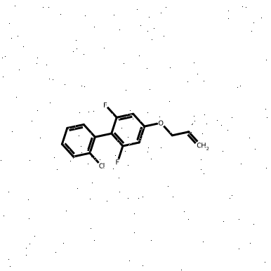 C=CCOc1cc(F)c(-c2ccc[c]c2Cl)c(F)c1